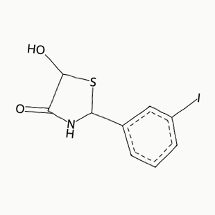 O=C1NC(c2cccc(I)c2)SC1O